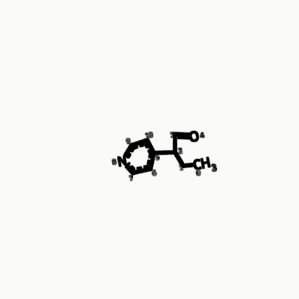 CCC(C=O)c1ccncc1